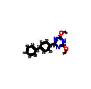 COc1nc(OC)nc(-c2ccc(-c3ccccc3)cc2)n1